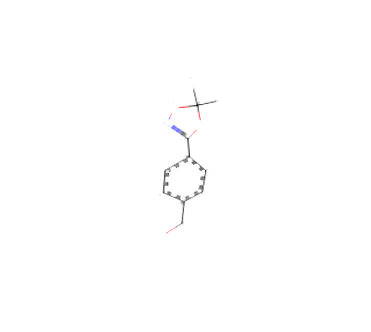 CC1(C)ON=C(c2ccc(CO)cc2)O1